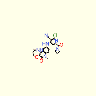 C[C@H]1CCOc2c(c3cc(Nc4cc(C(=O)N5CCC5)nc(Cl)c4C#N)ccc3n(C)c2=O)N1